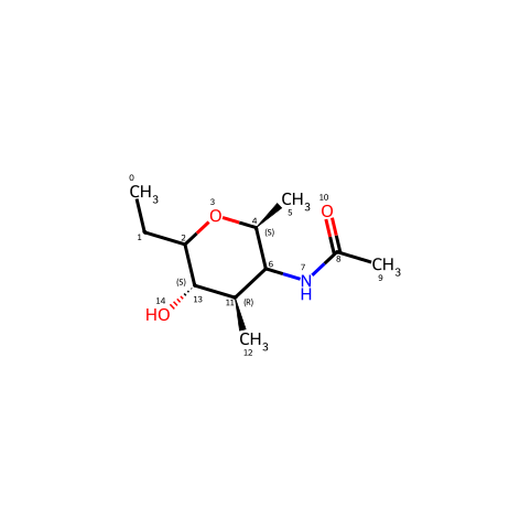 CCC1O[C@@H](C)C(NC(C)=O)[C@@H](C)[C@@H]1O